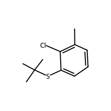 Cc1cccc(SC(C)(C)C)c1Cl